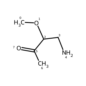 COC(CN)C(C)=O